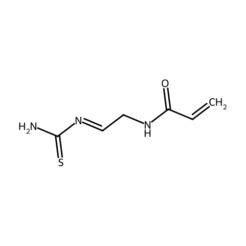 C=CC(=O)NCC=NC(N)=S